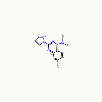 CCN(CC)c1nc(-n2cccn2)nc2cc(Br)ccc12